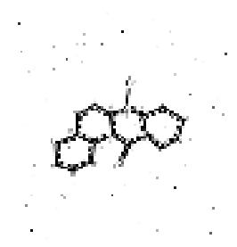 O=c1c2ccccc2[s+]([O-])c2ccc3ccccc3c12